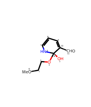 COCCO[C@]1(O)NC=CC=C1C=O